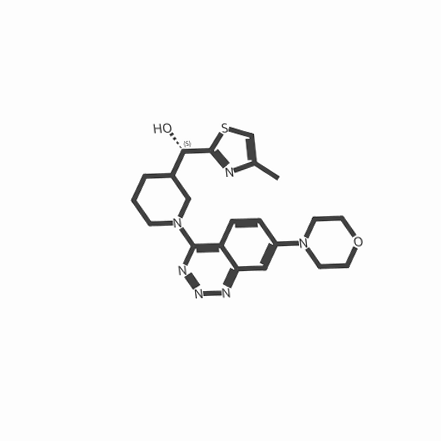 Cc1csc([C@@H](O)C2CCCN(c3nnnc4cc(N5CCOCC5)ccc34)C2)n1